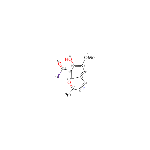 COc1cc(/C=C\C(=O)C(C)C)cc(C(=O)I)c1O